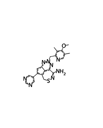 COc1c(C)cnc(Cn2nc3cc(-c4cncnc4)c4c-3c(n2)C(N)=NSC4)c1C